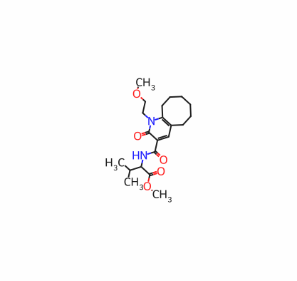 COCCn1c2c(cc(C(=O)NC(C(=O)OC)C(C)C)c1=O)CCCCCC2